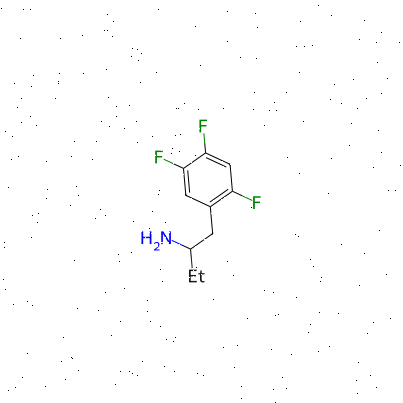 CCC(N)Cc1cc(F)c(F)cc1F